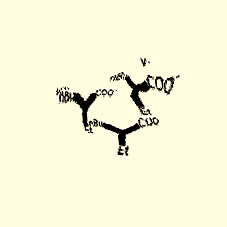 CCCCC(CC)C(=O)[O-].CCCCC(CC)C(=O)[O-].CCCCC(CC)C(=O)[O-].[Al+3].[V]